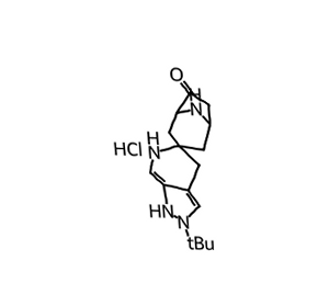 CC(C)(C)N1C=C2CC3(CC4CC(=O)C(C3)N4)NC=C2N1.Cl